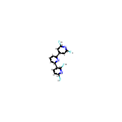 Fc1cc(-c2cccc(-c3ccc(F)nc3F)n2)cc(F)n1